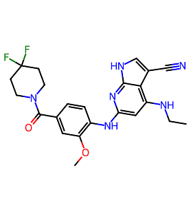 CCNc1cc(Nc2ccc(C(=O)N3CCC(F)(F)CC3)cc2OC)nc2[nH]cc(C#N)c12